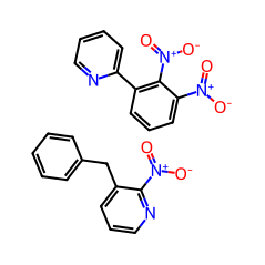 O=[N+]([O-])c1cccc(-c2ccccn2)c1[N+](=O)[O-].O=[N+]([O-])c1ncccc1Cc1ccccc1